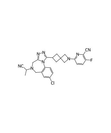 CC(C#N)N1Cc2cc(Cl)ccc2-n2c(nnc2C2CC3(C2)CN(c2ccc(F)c(C#N)n2)C3)C1